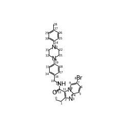 CCc1nc2ccc(Br)cn2c1C(=O)NCc1ccc(N2CCN(c3ccc(C)cc3)CC2)cc1